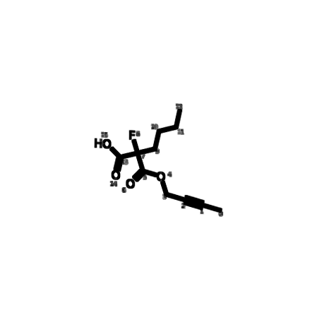 CC#CCOC(=O)C(F)(CCCC)C(=O)O